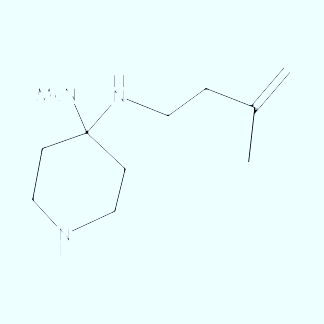 C=C(C)CCNC1(NC)CCNCC1